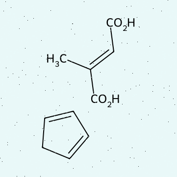 C1=CCC=C1.CC(=CC(=O)O)C(=O)O